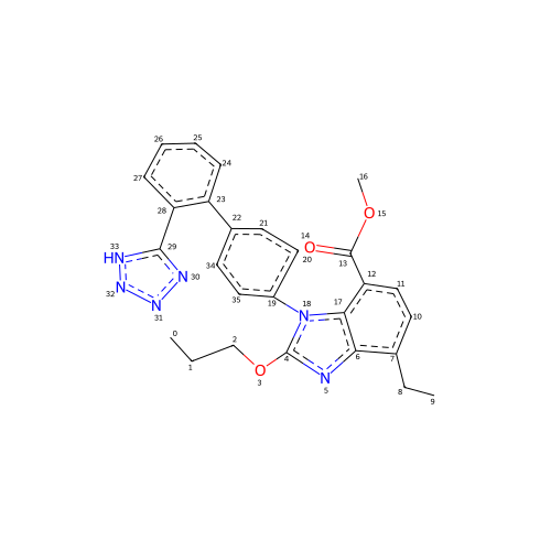 CCCOc1nc2c(CC)ccc(C(=O)OC)c2n1-c1ccc(-c2ccccc2-c2nnn[nH]2)cc1